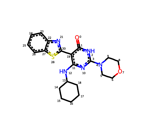 O=c1[nH]c(N2CCOCC2)nc(NC2CCCCC2)c1-c1nc2ccccc2s1